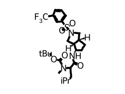 CC(C)CC(C(=O)N[C@@H]1CC[C@H]2CN(S(=O)(=O)c3cccc(C(F)(F)F)c3)C[C@H]21)N(C)C(=O)OC(C)(C)C